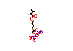 CC(C)[C@@H](C)C(=O)OCCCC[C@@H](CO[N+](=O)[O-])O[N+](=O)[O-]